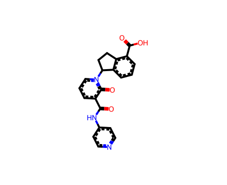 O=C(O)c1cccc2c1CCC2n1cccc(C(=O)Nc2ccncc2)c1=O